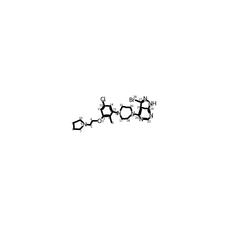 Cc1c(OCCN2CCCC2)cc(Cl)cc1N1CCN(c2ncnc3[nH]nc(Br)c23)CC1